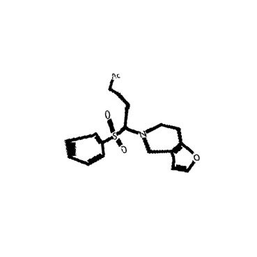 CC(=O)CCC(N1CCc2occc2C1)S(=O)(=O)c1ccccc1